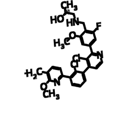 [CH2]c1ccc(-c2cccc(-c3ccnc(-c4cc(F)c(CNC[C@H](C)O)c(OC)c4)c3Cl)c2Cl)nc1OC